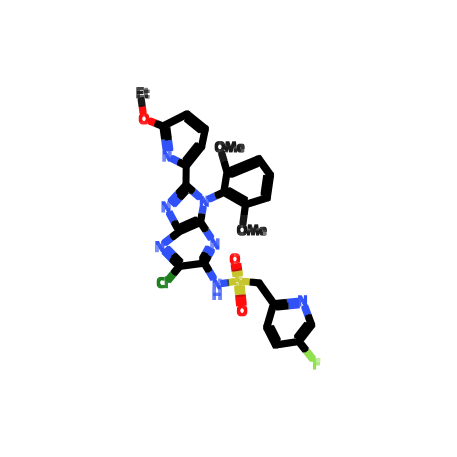 CCOc1cccc(-c2nc3nc(Cl)c(NS(=O)(=O)Cc4ccc(F)cn4)nc3n2-c2c(OC)cccc2OC)n1